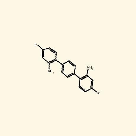 Nc1cc(Br)ccc1-c1ccc(-c2ccc(Br)cc2N)cc1